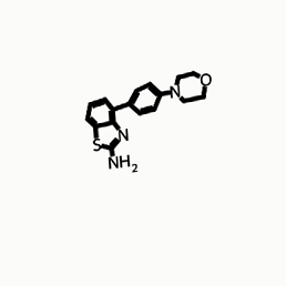 Nc1nc2c(-c3ccc(N4CCOCC4)cc3)cccc2s1